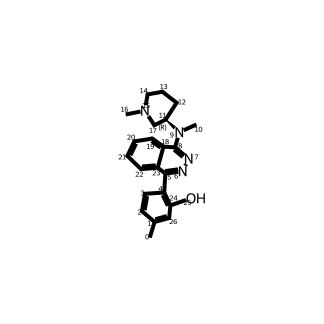 Cc1ccc(-c2nnc(N(C)[C@@H]3CCCN(C)C3)c3ccccc23)c(O)c1